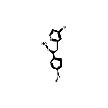 COc1ccc(C(Cc2cc(Br)ccn2)=NO)cc1